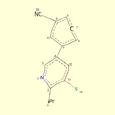 CC(C)c1ncc(-c2cccc(C#N)c2)cc1F